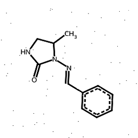 CC1CNC(=O)N1N=Cc1ccccc1